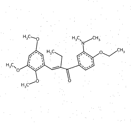 CCOc1ccc(C(=O)/C(=C/c2cc(OC)cc(OC)c2OC)CC)cc1N(C)C